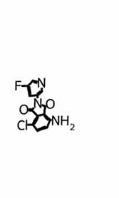 Nc1ccc(Cl)c2c1C(=O)N(c1cncc(F)c1)C2=O